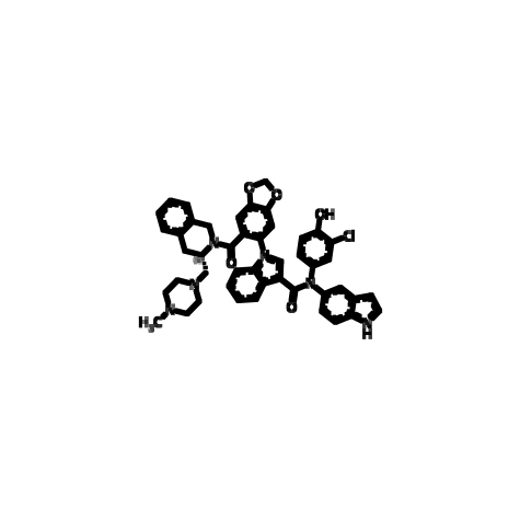 CN1CCN(C[C@@H]2Cc3ccccc3CN2C(=O)c2cc3c(cc2-n2cc(C(=O)N(c4ccc(O)c(Cl)c4)c4ccc5[nH]ccc5c4)c4ccccc42)OCO3)CC1